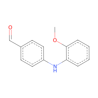 COc1ccccc1Nc1ccc(C=O)cc1